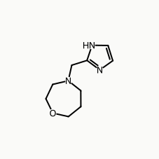 c1c[nH]c(CN2CCCOCC2)n1